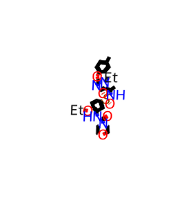 CCOc1ccc(S(=O)(=O)NC(C)c2cnc(Oc3ccc(C)cc3)n2CC)cc1NC(=O)N1CCOCC1